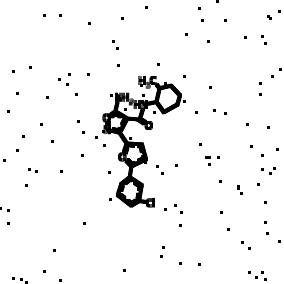 CC1CCCCC1NC(=O)c1c(-c2ccc(-c3cccc(Cl)c3)o2)noc1N